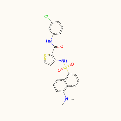 CN(C)c1cccc2c(S(=O)(=O)Nc3ccsc3C(=O)Nc3cccc(Cl)c3)cccc12